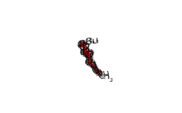 [CH2+][CH-]CCOc1ccc(OCCCCOc2ccc(OCCCCCCOc3ccc(OCCCCOC4CCC(C)CC4)cc3)cc2)cc1